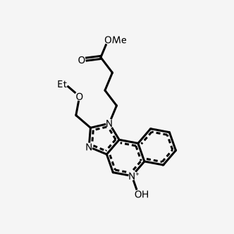 CCOCc1nc2c[n+](O)c3ccccc3c2n1CCCC(=O)OC